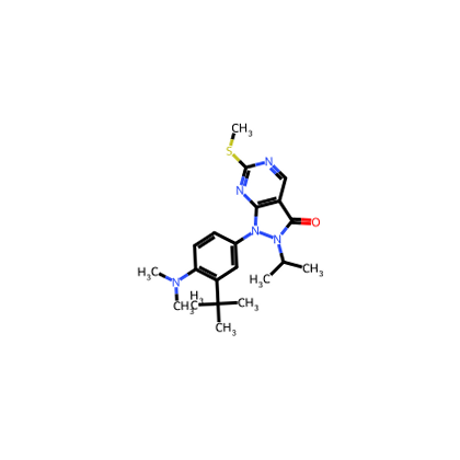 CSc1ncc2c(=O)n(C(C)C)n(-c3ccc(N(C)C)c(C(C)(C)C)c3)c2n1